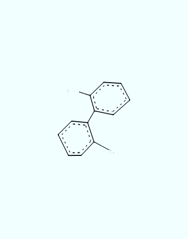 O=[N+]([O-])c1ccccc1-c1ccccc1C(F)(F)F